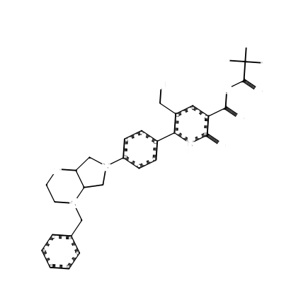 CCc1cc(C(=O)OC(=O)C(F)(F)F)c(=O)[nH]c1-c1ccc(N2CC3OCCN(Cc4ccccc4)C3C2)cc1